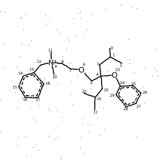 CC(C)CC(COCC[N+](C)(C)Cc1ccccc1)(CC(C)C)Oc1ccccc1